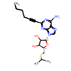 CCCCC#Cc1nc(N)c2ncn([C@@H]3O[C@H](CSC(C)C)C(O)C3O)c2n1